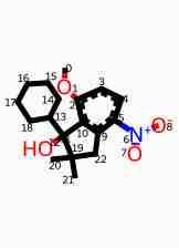 COc1ccc([N+](=O)[O-])c2c1C(O)(C1CCCCC1)C(C)(C)C2